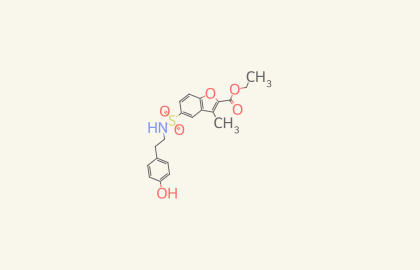 CCOC(=O)c1oc2ccc(S(=O)(=O)NCCc3ccc(O)cc3)cc2c1C